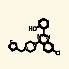 Oc1ccccc1-c1nc(N2CCN(Cc3ccsc3)CC2)c2ccc(Cl)cc2n1